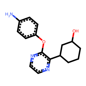 Nc1ccc(Oc2nccnc2C2CCCC(O)C2)cc1